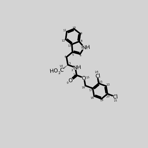 O=C(N[C@@H](Cc1c[nH]c2ccccc12)C(=O)O)OCc1ccc(Cl)cc1Cl